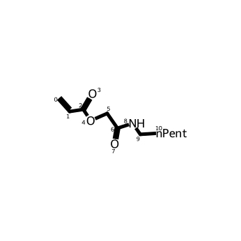 C=CC(=O)OCC(=O)NCCCCCC